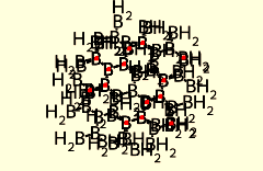 BB(B)B(B(B)B)B(B(B)B)B(B(B(B(B)B)B(B)B)B(B(B)B)B(B)B)B(B(B(B(B)B)B(B)B)B(B(B)B)B(B)B)B(B(B(B(B)B)B(B)B)B(B(B)B)B(B)B)B(B(B(B)B)B(B)B)B(B(B)B)B(B)B